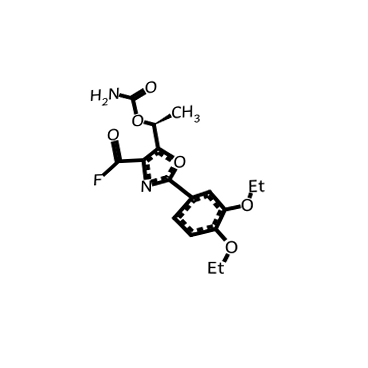 CCOc1ccc(-c2nc(C(=O)F)c([C@H](C)OC(N)=O)o2)cc1OCC